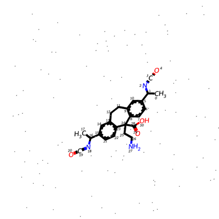 CC(N=C=O)c1ccc2c(c1)CCc1cc(C(C)N=C=O)ccc1C2(CCN)C(=O)O